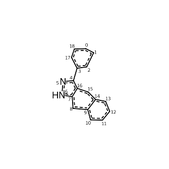 c1ccc(-c2n[nH]c3cc4ccccc4cc23)cc1